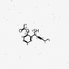 CCC#CC(S)c1ccccc1OC(C)=O